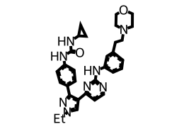 CCn1cc(-c2ccnc(Nc3cccc(CCN4CCOCC4)c3)n2)c(-c2ccc(NC(=O)NC3CC3)cc2)n1